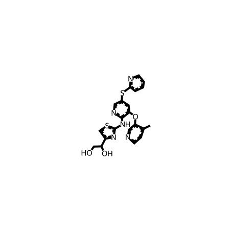 Cc1ccncc1Oc1cc(Sc2ccccn2)cnc1Nc1nc(C(O)CO)cs1